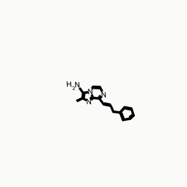 Cc1nc2c(C=CCc3ccccc3)nccn2c1N